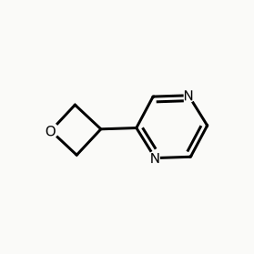 c1cnc(C2COC2)cn1